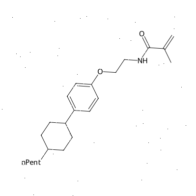 C=C(C)C(=O)NCCOc1ccc(C2CCC(CCCCC)CC2)cc1